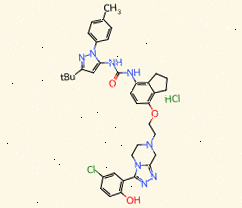 Cc1ccc(-n2nc(C(C)(C)C)cc2NC(=O)Nc2ccc(OCCN3CCn4c(nnc4-c4cc(Cl)ccc4O)C3)c3c2CCC3)cc1.Cl